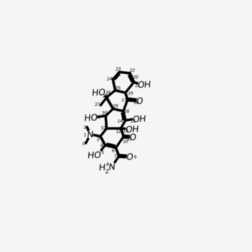 CN(C)C1C(O)=C(C(N)=O)C(=O)C2(O)C(O)=C3C(=O)C4C(O)=CC=CC4C(C)(O)C3C(O)C12